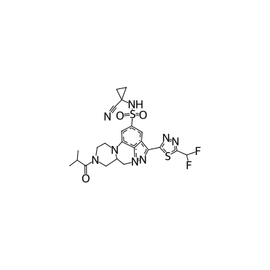 CC(C)C(=O)N1CCN2c3cc(S(=O)(=O)NC4(C#N)CC4)cc4c(-c5nnc(C(F)F)s5)nn(c34)CC2C1